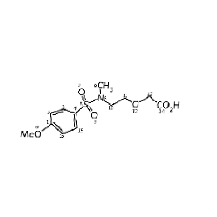 COc1ccc(S(=O)(=O)N(C)CCOCC(=O)O)cc1